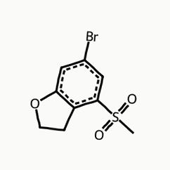 CS(=O)(=O)c1cc(Br)cc2c1CCO2